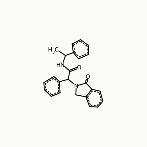 CC(NC(=O)C(c1ccccc1)N1Cc2ccccc2C1=O)c1ccccc1